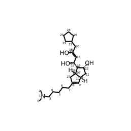 CN(C)CCCCCC1=C[C@@H]2C[C@@H](O)[C@H](C(O)C=C(O)CC3CCCC3)[C@H]2C1